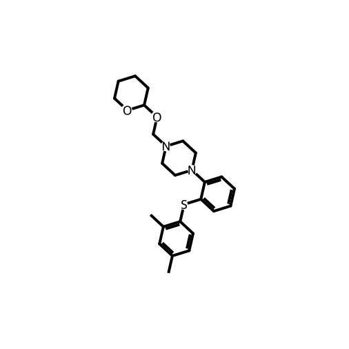 Cc1ccc(Sc2ccccc2N2CCN(COC3CCCCO3)CC2)c(C)c1